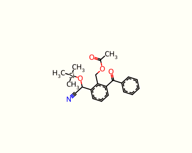 CC(=O)OCc1c(C(=O)c2ccccc2)cccc1C(C#N)O[Si](C)(C)C